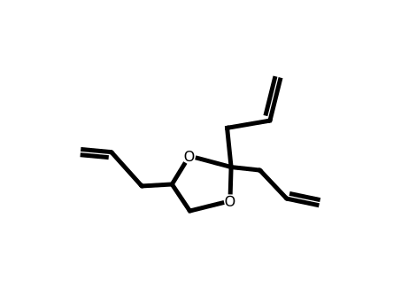 C=CCC1COC(CC=C)(CC=C)O1